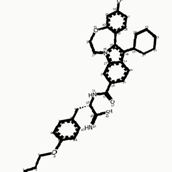 CCCCOc1ccc(C[C@H](NC(=O)c2ccc3c(C4CCCCC4)c4n(c3c2)CCOc2cc(OC)ccc2-4)C(=N)S)cc1